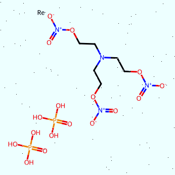 O=P(O)(O)O.O=P(O)(O)O.O=[N+]([O-])OCCN(CCO[N+](=O)[O-])CCO[N+](=O)[O-].[Re]